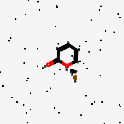 O=c1cccco1.[Na].[S]